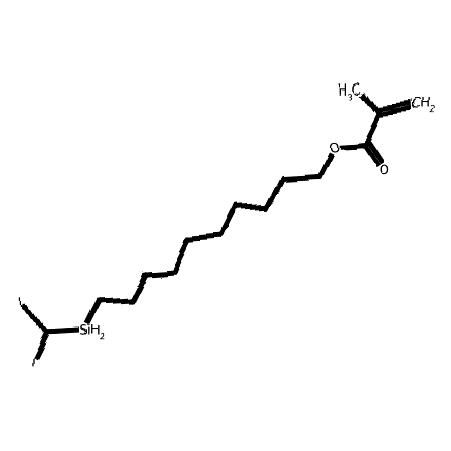 C=C(C)C(=O)OCCCCCCCCCC[SiH2]C(I)I